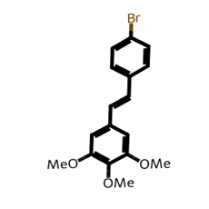 COc1cc(/C=C/c2ccc(Br)cc2)cc(OC)c1OC